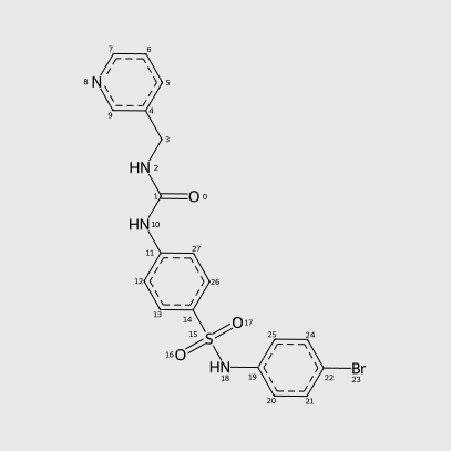 O=C(NCc1cccnc1)Nc1ccc(S(=O)(=O)Nc2ccc(Br)cc2)cc1